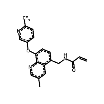 C=CC(=O)NCc1ccc(Oc2ccc(C(F)(F)F)nc2)c2ncc(C)cc12